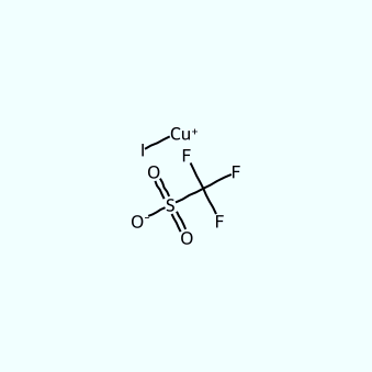 O=S(=O)([O-])C(F)(F)F.[Cu+][I]